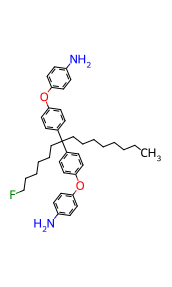 CCCCCCCCC(CCCCCCF)(c1ccc(Oc2ccc(N)cc2)cc1)c1ccc(Oc2ccc(N)cc2)cc1